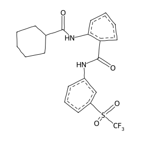 O=C(Nc1cccc(S(=O)(=O)C(F)(F)F)c1)c1ccccc1NC(=O)C1CCCCC1